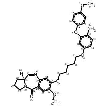 COc1ccc(Oc2cc(OCCCCCOc3cc4c(cc3OC)C(=O)N3CCC[C@H]3C=N4)ccc2N)cc1